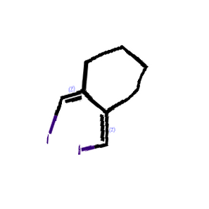 I/C=C1/CCCC/C1=C/I